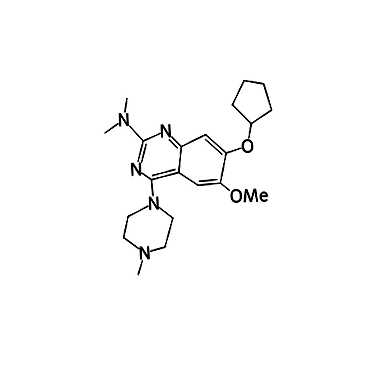 COc1cc2c(N3CCN(C)CC3)nc(N(C)C)nc2cc1OC1CCCC1